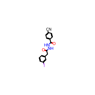 N#Cc1ccc(C(=O)NNC(=O)Cc2cccc(I)c2)cc1